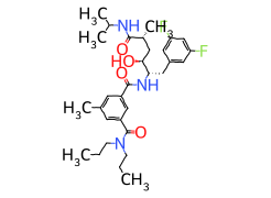 CCCN(CCC)C(=O)c1cc(C)cc(C(=O)N[C@@H](Cc2cc(F)cc(F)c2)[C@@H](O)C[C@@H](C)C(=O)NC(C)C)c1